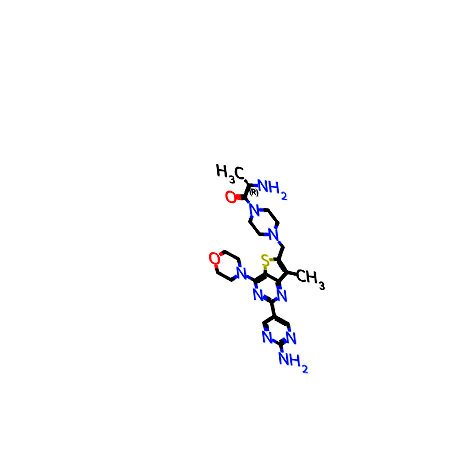 Cc1c(CN2CCN(C(=O)[C@@H](C)N)CC2)sc2c(N3CCOCC3)nc(-c3cnc(N)nc3)nc12